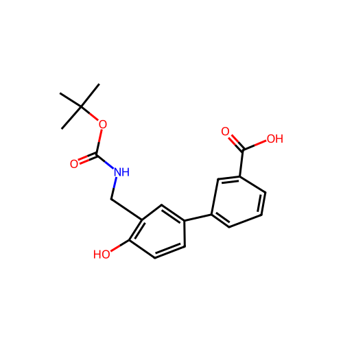 CC(C)(C)OC(=O)NCc1cc(-c2cccc(C(=O)O)c2)ccc1O